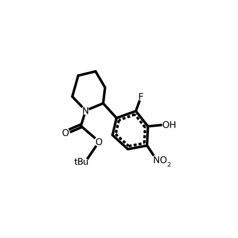 CC(C)(C)OC(=O)N1CCCCC1c1ccc([N+](=O)[O-])c(O)c1F